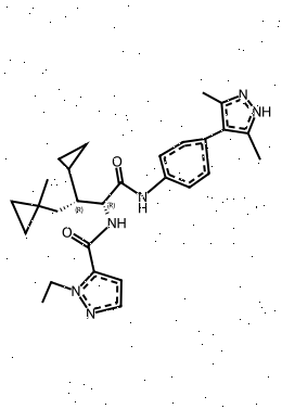 CCn1nccc1C(=O)N[C@@H](C(=O)Nc1ccc(-c2c(C)n[nH]c2C)cc1)[C@H](CC1(C)CC1)C1CC1